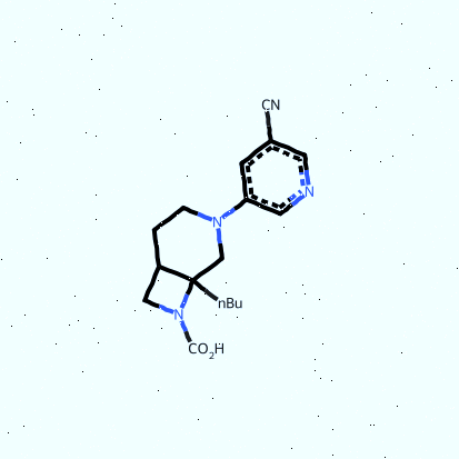 CCCCC12CN(c3cncc(C#N)c3)CCC1CN2C(=O)O